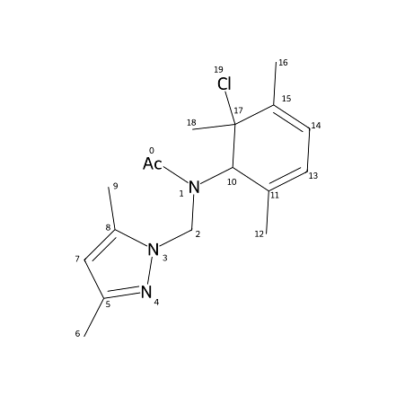 CC(=O)N(Cn1nc(C)cc1C)C1C(C)=CC=C(C)C1(C)Cl